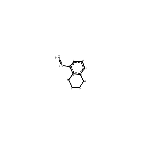 N=Nc1cccc2c1CCCC2